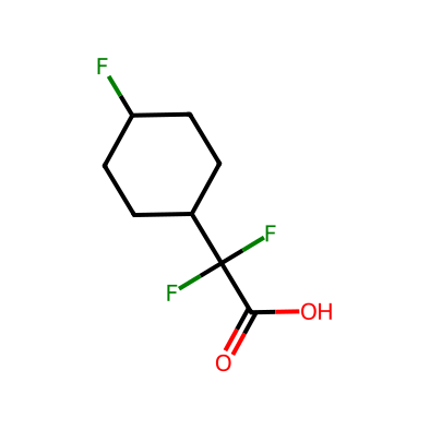 O=C(O)C(F)(F)C1CCC(F)CC1